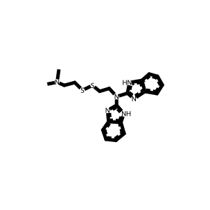 CN(C)CCSSCCN(c1nc2ccccc2[nH]1)c1nc2ccccc2[nH]1